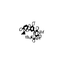 CC(C)(C)OC(=O)Nc1nn(-c2cc(Cl)c(Oc3ccc(=O)n(C4CC4)c3)c(Cl)c2)c(=O)[nH]c1=O